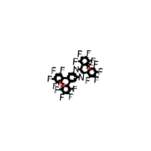 Fc1c(F)c(F)c(-c2cc3nc(-c4c(F)c(F)c(F)c(F)c4F)c(-c4c(F)c(F)c(F)c(F)c4F)nc3cc2-c2c(F)c(F)c(F)c(F)c2F)c(F)c1F